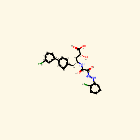 O=C(NNc1ccccc1F)C(=O)N[C@H](Cc1ccc(-c2cccc(Cl)c2)cc1)C[C@@H](O)C(=O)O